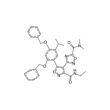 CCNC(=O)c1noc(-c2cc(C(C)C)c(OCc3ccccc3)cc2OCc2ccccc2)c1-c1noc(C(=O)N(C)C)n1